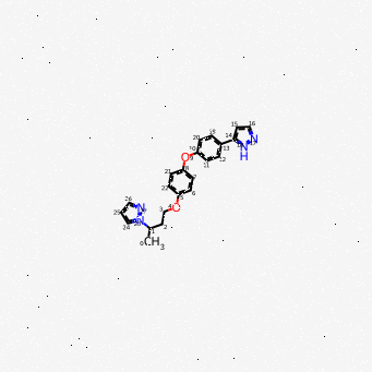 CC(CCOc1ccc(Oc2ccc(-c3ccn[nH]3)cc2)cc1)n1cccn1